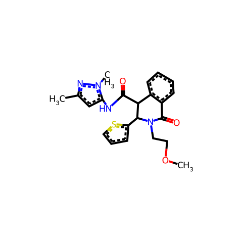 COCCN1C(=O)c2ccccc2C(C(=O)Nc2cc(C)nn2C)C1c1cccs1